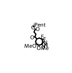 CCCC(C)OC(=O)CCC(=O)C1C[C@H](OC)[C@@H](OC)c2c(nnn2C)C(F)(F)C1